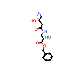 Cl.NC[C@@H](O)CC(=O)NCCC(=O)OCc1ccccc1